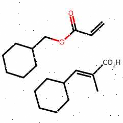 C=CC(=O)OCC1CCCCC1.CC(=CC1CCCCC1)C(=O)O